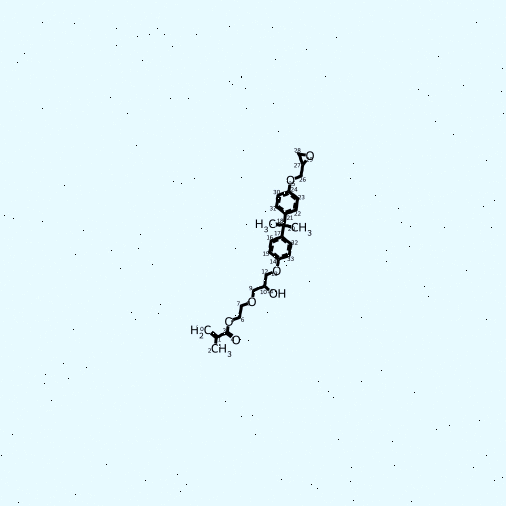 C=C(C)C(=O)OCCOCC(O)COc1ccc(C(C)(C)c2ccc(OCC3CO3)cc2)cc1